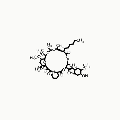 CCCCCCC1/C=C(\C)CC(C)CC(OC)C2OC(O)(C(=O)C(=O)N3CCCCC3C(=O)OC(C(C)=CC3CCC(O)C(OC)C3)C(C)CCC1=O)C(C)CC2OC